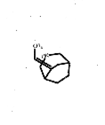 C/C=C1\CC2CCC1CNC2